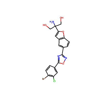 NC(CO)(CO)c1cc2cc(-c3noc(-c4ccc(Br)c(Cl)c4)n3)ccc2o1